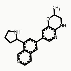 CC1CNc2ncc(-c3cc(C4CCCN4)c4cnccc4c3)cc2O1